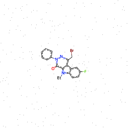 CCn1c2ccc(F)cc2c2c(CBr)nn(-c3ccccc3)c(=O)c21